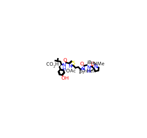 CCCCCCN(C(=O)[C@@H](NC(=O)[C@@]1(C)CCCN1NC)[C@@H](C)CC)[C@H](C[C@@H](OC(C)=O)c1nc(C(=O)N[C@@H](Cc2ccc(O)cc2)CC(C)(C)C(=O)O)cs1)C(C)C